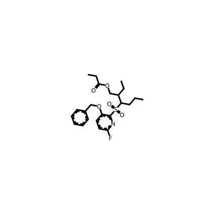 CCCC(C(CC)COC(=O)CC)S(=O)(=O)c1nc(F)ccc1OCc1ccccc1